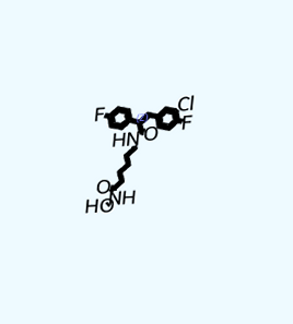 O=C(CCCCCNC(=O)/C(=C\c1ccc(F)c(Cl)c1)c1ccc(F)cc1)NO